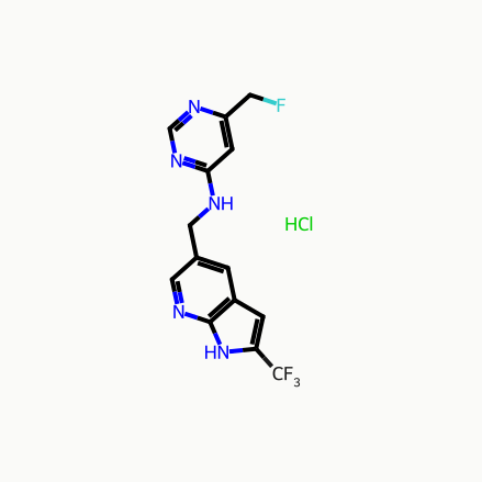 Cl.FCc1cc(NCc2cnc3[nH]c(C(F)(F)F)cc3c2)ncn1